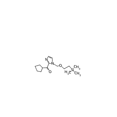 C[Si](C)(C)CCOCn1ccnc1C(=O)C1CCCC1